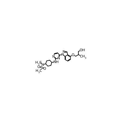 CC(CO)COc1cccc2c1cnn2-c1ccnc(NC2CCC(N(C)S(C)(=O)=O)CC2)n1